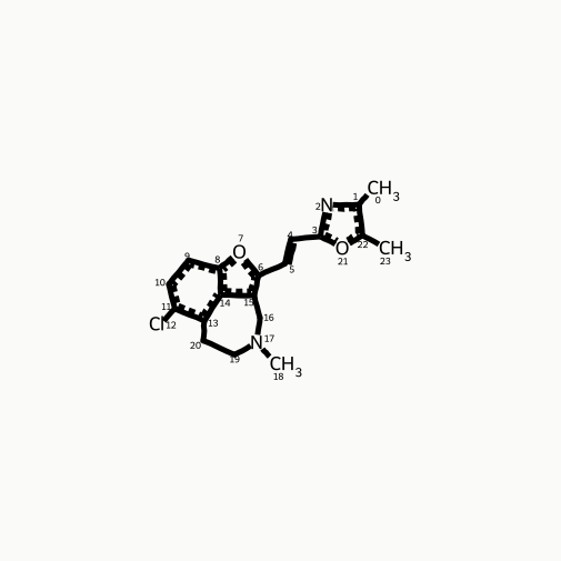 Cc1nc(C=Cc2oc3ccc(Cl)c4c3c2CN(C)CC4)oc1C